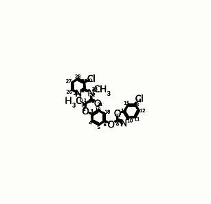 C[C@@H](Oc1ccc(Oc2nc3ccc(Cl)cc3o2)cc1)C(=O)N(C)c1ncccc1Cl